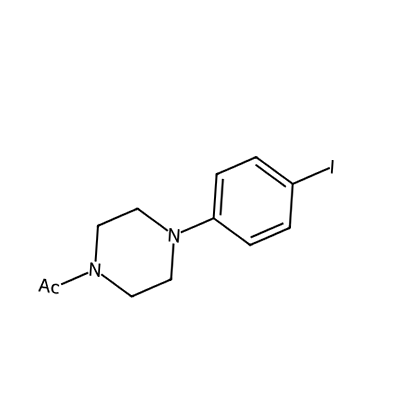 CC(=O)N1CCN(c2ccc(I)cc2)CC1